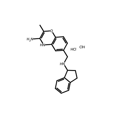 CC1=C(N)Nc2cc(CNC3CCc4ccccc43)ccc2O1.Cl.Cl